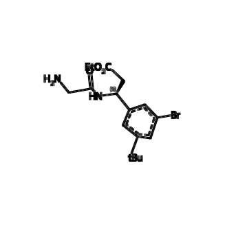 CCOC(=O)C[C@H](NC(=O)CN)c1cc(Br)cc(C(C)(C)C)c1